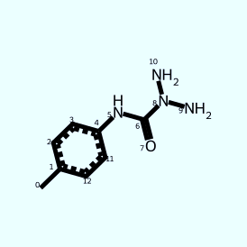 Cc1ccc(NC(=O)N(N)N)cc1